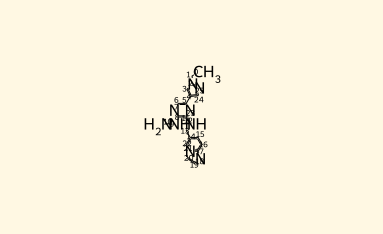 CCn1cc(-c2cnc(NN)c(NCc3ccc4nccn4c3)n2)cn1